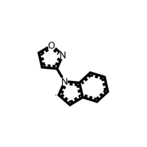 [c]1cc2ccccc2n1-c1ccon1